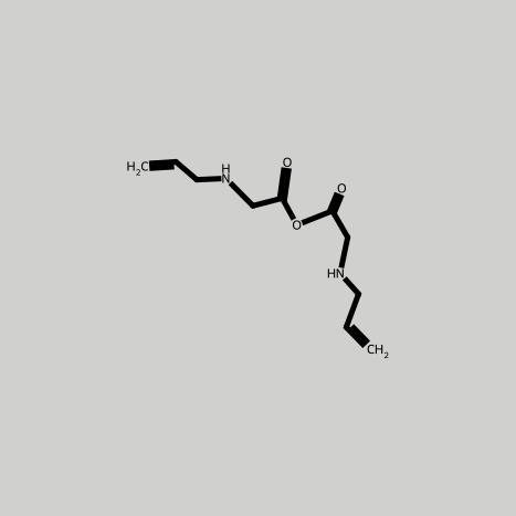 C=CCNCC(=O)OC(=O)CNCC=C